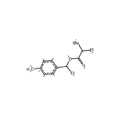 CCC(OC(=O)C(CC)C(C)(C)C)c1ccc(C)cc1